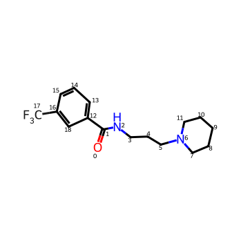 O=C(NCCCN1CCCCC1)c1cccc(C(F)(F)F)c1